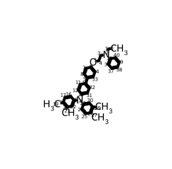 CCN(CCOc1ccc(-c2ccc(N(c3ccc(C)c(C)c3)c3ccc(C)c(C)c3)cc2)cc1)c1ccccc1